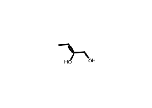 [CH2]C=C(O)CO